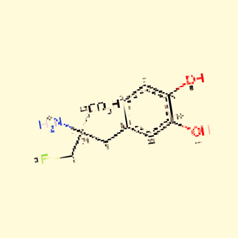 N[C@](CF)(Cc1ccc(O)c(O)c1)C(=O)O